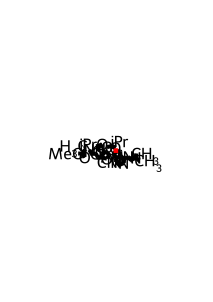 COC(=O)[C@H](C)NCOC[C@@]1(C#N)O[C@@H](c2ccc3c(/N=C/N(C)C)ncnn23)[C@H](OC(=O)C(C)C)[C@@H]1OC(=O)C(C)C